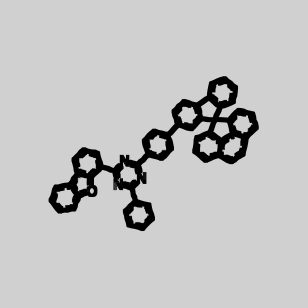 c1ccc(-c2nc(-c3ccc(-c4ccc5c(c4)C4(c6ccccc6-5)c5cccc6ccc7cccc4c7c56)cc3)nc(-c3cccc4c3oc3ccccc34)n2)cc1